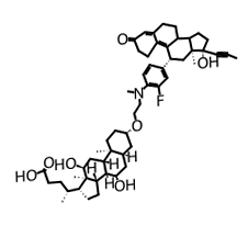 CC#C[C@]1(O)CCC2C3CCC4=CC(=O)CCC4=C3[C@@H](c3ccc(N(C)CCO[C@H]4CC[C@@]5(C)[C@@H](C4)C[C@@H](O)[C@@H]4[C@@H]5C[C@H](O)[C@]5(C)[C@@H]([C@H](C)CCC(=O)O)CC[C@@H]45)c(F)c3)C[C@@]21C